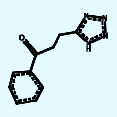 O=C(CCc1nnn[nH]1)c1ccccc1